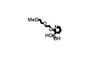 COCCOCCOc1ncccc1B(O)O